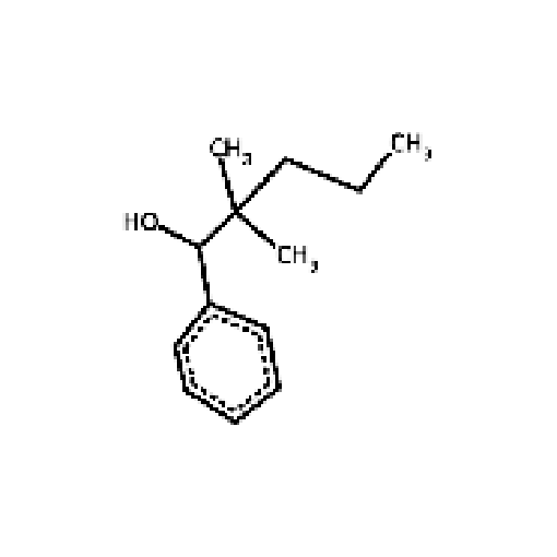 CCCC(C)(C)C(O)c1ccccc1